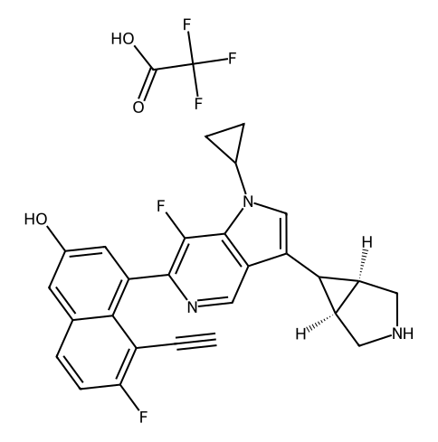 C#Cc1c(F)ccc2cc(O)cc(-c3ncc4c(C5[C@H]6CNC[C@@H]56)cn(C5CC5)c4c3F)c12.O=C(O)C(F)(F)F